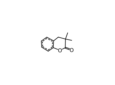 CC1(C)Cc2ccccc2OC1=O